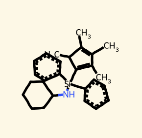 CC1=C(C)C(C)C([Si](NC2CCCCC2)(c2ccccc2)c2ccccc2)=C1C